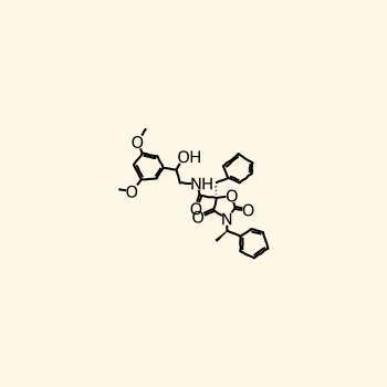 COc1cc(OC)cc(C(O)CNC(=O)[C@@]2(Cc3ccccc3)OC(=O)N([C@H](C)c3ccccc3)C2=O)c1